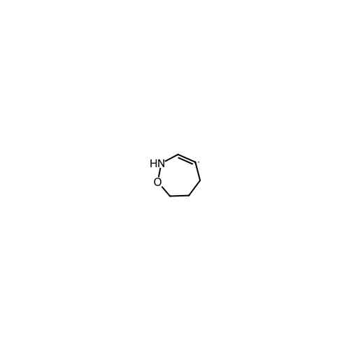 [C]1=CNOCCC1